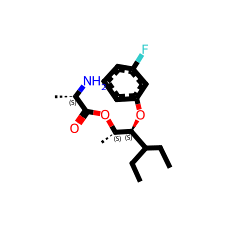 CCC(CC)[C@H](Oc1cccc(F)c1)[C@H](C)OC(=O)[C@H](C)N